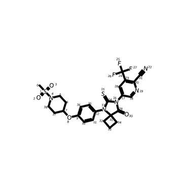 CS(=O)(=O)N1CCC(Oc2ccc(N3C(=S)N(c4cnc(C#N)c(C(F)(F)F)c4)C(=O)C34CCC4)cc2)CC1